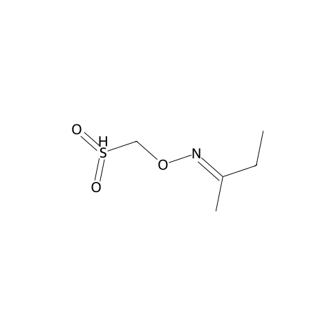 CCC(C)=NOC[SH](=O)=O